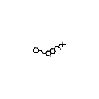 CC(C)(C)CC(=O)Cc1ccc2ncc(CCC3CCCCC3)cc2c1